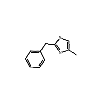 [CH2]c1csc(Cc2ccccc2)n1